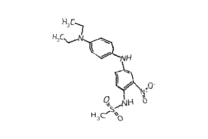 CCN(CC)c1ccc(Nc2ccc(NS(C)(=O)=O)c([N+](=O)[O-])c2)cc1